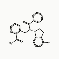 NC(=O)c1ncccc1CN(C(=O)c1ccccc1)[C@@H]1CCc2c(F)cccc21